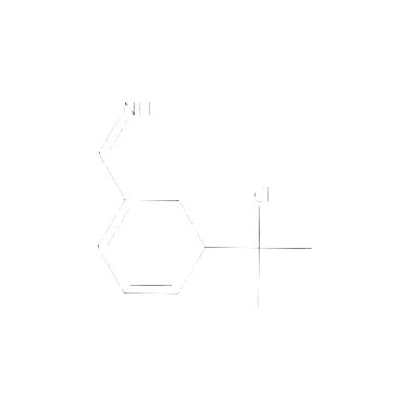 CC(Cl)(I)C1C=CC=C(C=N)C1